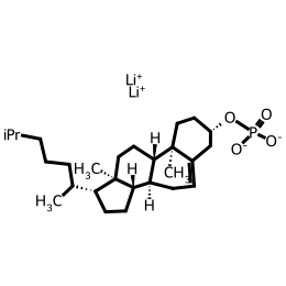 CC(C)CCCC(C)[C@H]1CC[C@H]2[C@@H]3CC=C4C[C@@H](OP(=O)([O-])[O-])CC[C@]4(C)[C@H]3CC[C@]12C.[Li+].[Li+]